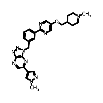 CN1CCC(COc2cnc(-c3cccc(Cn4nnc5ncc(-c6cnn(C)c6)nc54)c3)nc2)CC1